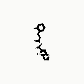 Cc1ccccc1CCC(=O)OC(=O)c1cc2occc2[nH]1